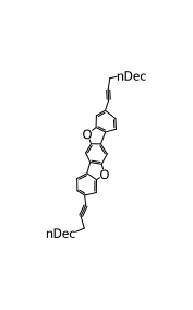 CCCCCCCCCCCC#Cc1ccc2c(c1)oc1cc3c(cc12)oc1cc(C#CCCCCCCCCCCC)ccc13